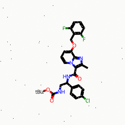 Cc1nc2c(OCc3c(F)cccc3F)cccn2c1C(=O)NC(CNC(=O)OC(C)(C)C)c1ccc(Cl)cc1